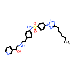 CCCCCCc1nnn(-c2ccc(S(=O)(=O)Nc3ccc(CCNCC(O)c4cccnc4)cc3)cc2)n1